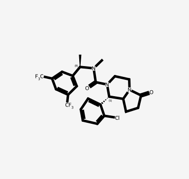 C[C@H](c1cc(C(F)(F)F)cc(C(F)(F)F)c1)N(C)C(=O)N1CCN2C(=O)CCC2[C@@H]1c1ccccc1Cl